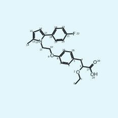 CCOC(Cc1ccc(OCCn2c(C)ccc2-c2ccc(F)cc2)cc1)C(=O)O